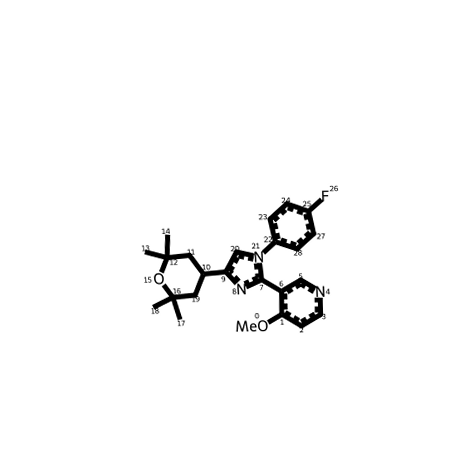 COc1ccncc1-c1nc(C2CC(C)(C)OC(C)(C)C2)cn1-c1ccc(F)cc1